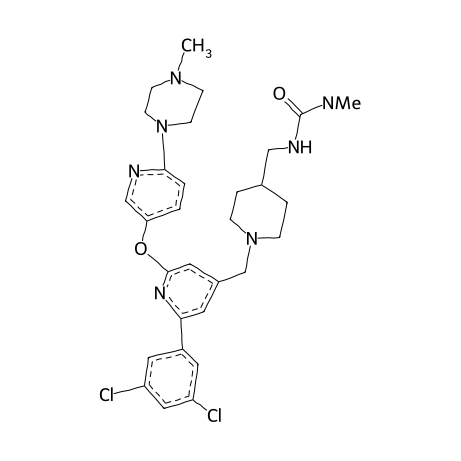 CNC(=O)NCC1CCN(Cc2cc(Oc3ccc(N4CCN(C)CC4)nc3)nc(-c3cc(Cl)cc(Cl)c3)c2)CC1